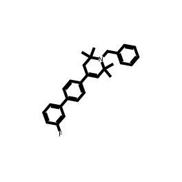 CC1(C)C=C(c2ccc(-c3cccc(F)c3)cc2)CC(C)(C)N1Cc1ccccc1